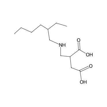 CCCCC(CC)CNCC(CC(=O)O)C(=O)O